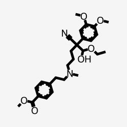 CCOC(O)C(C#N)(CCCN(C)CCc1ccc(C(=O)OC)cc1)c1ccc(OC)c(OC)c1